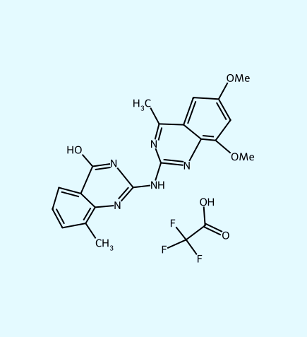 COc1cc(OC)c2nc(Nc3nc(O)c4cccc(C)c4n3)nc(C)c2c1.O=C(O)C(F)(F)F